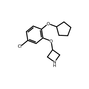 Clc1ccc(OC2CCCC2)c(OC2CNC2)c1